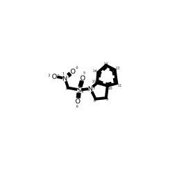 O=[N+]([O-])CS(=O)(=O)N1CCc2ccccc21